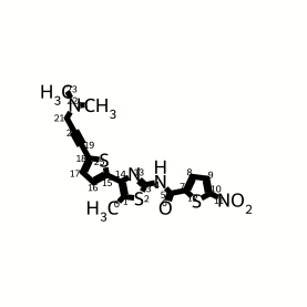 Cc1sc(NC(=O)c2ccc([N+](=O)[O-])s2)nc1-c1ccc(C#CCN(C)C)s1